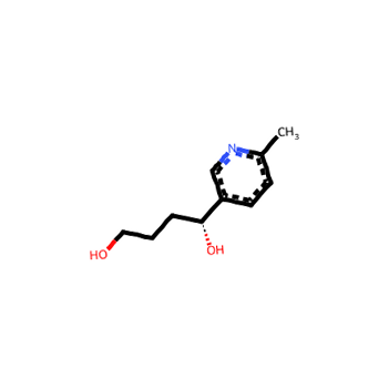 Cc1ccc([C@H](O)CCCO)cn1